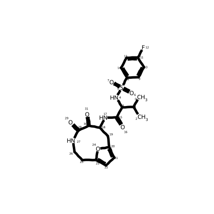 CC(C)C(NS(=O)(=O)c1ccc(F)cc1)C(=O)NC1Cc2ccc(o2)CCNC(=O)C1=O